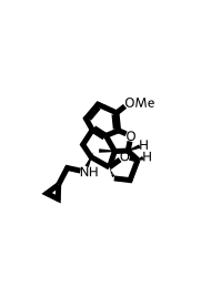 COc1ccc2c3c1O[C@@H]1[C@@H]4CC[C@](O4)([C@@H](NCC4CC4)C2)[C@]31C